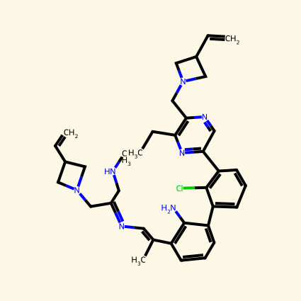 C=CC1CN(C/C(CNC)=N/C=C(\C)c2cccc(-c3cccc(-c4cnc(CN5CC(C=C)C5)c(CC)n4)c3Cl)c2N)C1